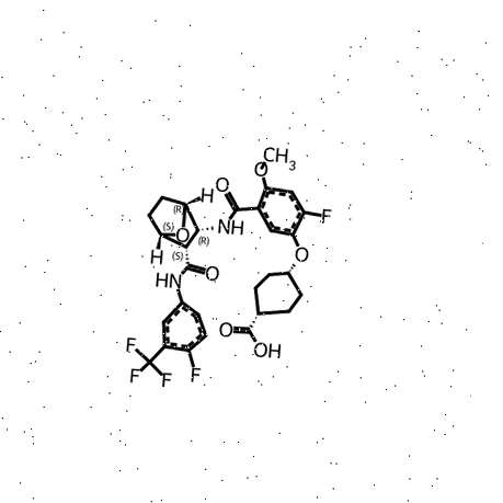 COc1cc(F)c(O[C@H]2CC[C@@H](C(=O)O)CC2)cc1C(=O)N[C@@H]1[C@H](C(=O)Nc2ccc(F)c(C(F)(F)F)c2)[C@@H]2CC[C@H]1O2